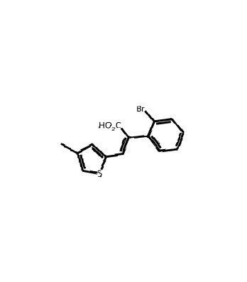 Cc1csc(C=C(C(=O)O)c2ccccc2Br)c1